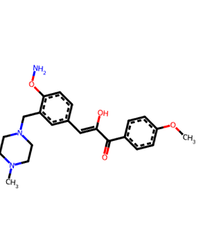 COc1ccc(C(=O)/C(O)=C/c2ccc(ON)c(CN3CCN(C)CC3)c2)cc1